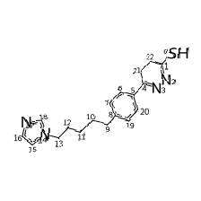 SC1=NN=C(c2ccc(CCCCCn3ccnc3)cc2)CC1